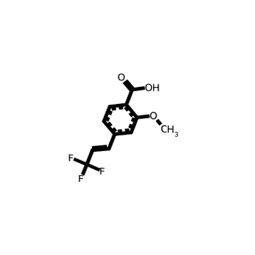 COc1cc(/C=C/C(F)(F)F)ccc1C(=O)O